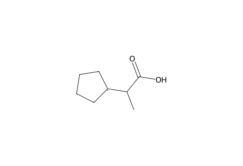 CC([C]1CCCC1)C(=O)O